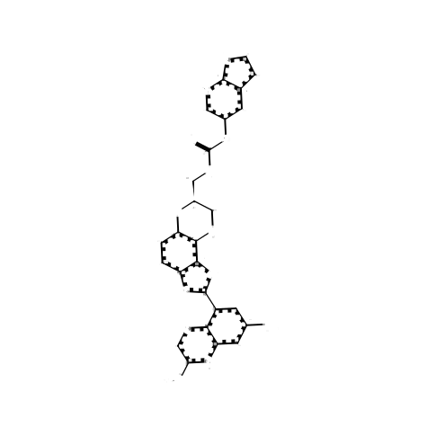 COc1cnc2c(-c3nc4ccc5c(c4s3)OC[C@H](COC(=O)Nc3cnc4[nH]ccc4c3)O5)cc(C)cc2n1